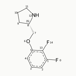 Fc1cccc(OC[C@@H]2CCCN2)c1F